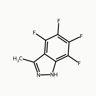 Cc1n[nH]c2c(F)c(F)c(F)c(F)c12